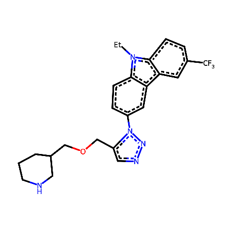 CCn1c2ccc(-n3nncc3COCC3CCCNC3)cc2c2cc(C(F)(F)F)ccc21